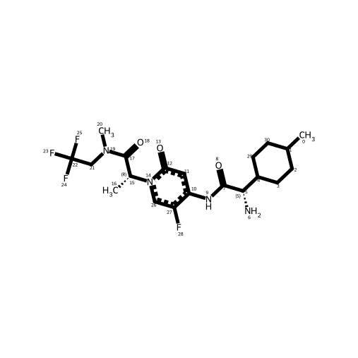 CC1CCC([C@H](N)C(=O)Nc2cc(=O)n([C@H](C)C(=O)N(C)CC(F)(F)F)cc2F)CC1